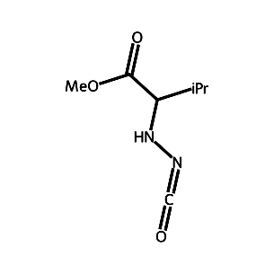 COC(=O)C(NN=C=O)C(C)C